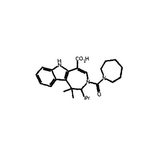 CC(C)C1N(C(=O)N2CCCCCC2)C=C(C(=O)O)c2[nH]c3ccccc3c2C1(C)C